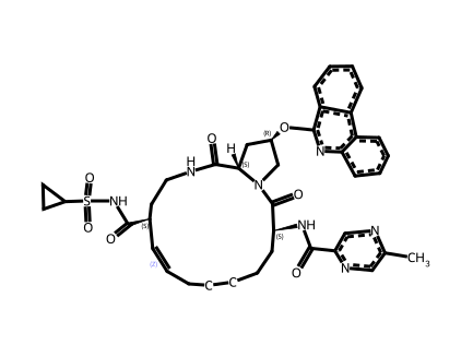 Cc1cnc(C(=O)N[C@H]2CCCCC/C=C\[C@@H](C(=O)NS(=O)(=O)C3CC3)CCNC(=O)[C@@H]3C[C@@H](Oc4nc5ccccc5c5ccccc45)CN3C2=O)cn1